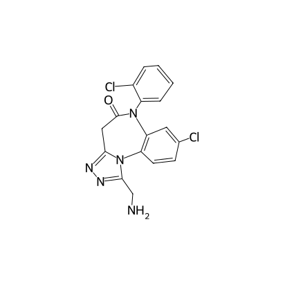 NCc1nnc2n1-c1ccc(Cl)cc1N(c1ccccc1Cl)C(=O)C2